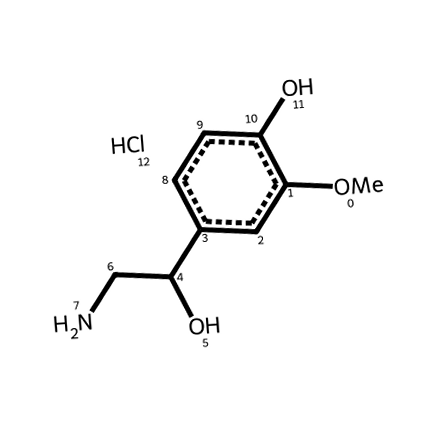 COc1cc(C(O)CN)ccc1O.Cl